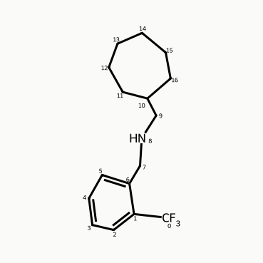 FC(F)(F)c1ccccc1CNCC1CCCCCC1